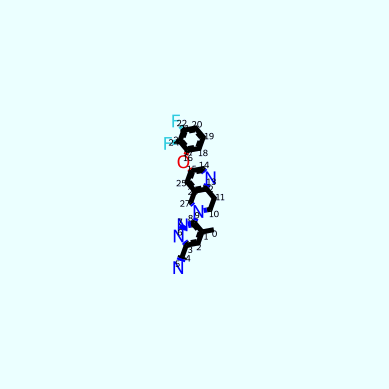 Cc1cc(C#N)nnc1N1CCc2ncc(Oc3cccc(F)c3F)cc2C1